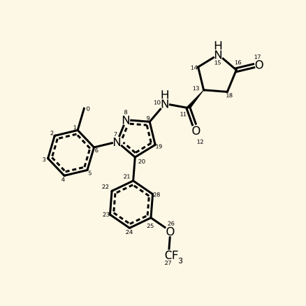 Cc1ccccc1-n1nc(NC(=O)[C@H]2CNC(=O)C2)cc1-c1cccc(OC(F)(F)F)c1